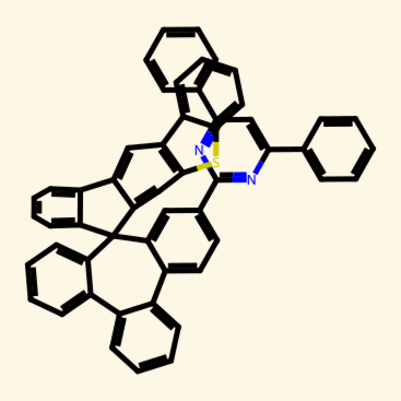 c1ccc(-c2cc(-c3ccccc3)nc(-c3ccc4c(c3)C3(c5ccccc5-c5ccccc5-4)c4ccccc4-c4cc5c(cc43)sc3ccccc35)n2)cc1